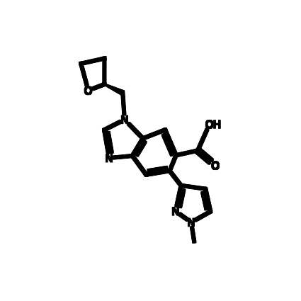 Cn1ccc(-c2cc3ncn(C[C@@H]4CCO4)c3cc2C(=O)O)n1